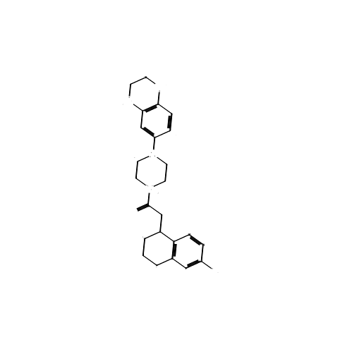 O=C(CC1CCCc2cc(Br)ccc21)N1CCN(c2ccc3c(c2)OCCO3)CC1